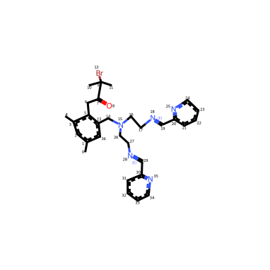 Cc1cc(C)c(CC(=O)C(C)(C)Br)c(CN(CC/N=C/c2ccccn2)CC/N=C/c2ccccn2)c1